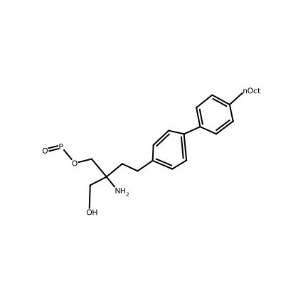 CCCCCCCCc1ccc(-c2ccc(CCC(N)(CO)COP=O)cc2)cc1